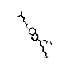 CC(C)=CCOC[C@@H]1CCc2cc([C@H](CN)CCCCO)ccc2C1